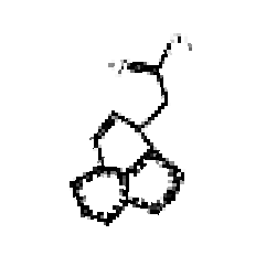 C=C(C)CC1C=Cc2cccc3cccc1c23